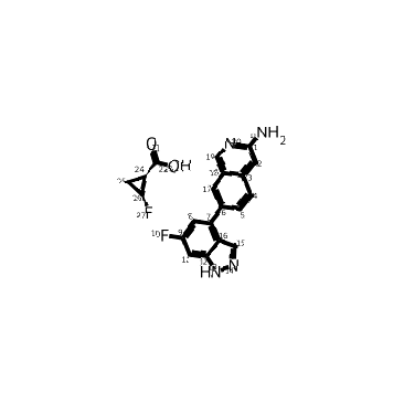 Nc1cc2ccc(-c3cc(F)cc4[nH]ncc34)cc2cn1.O=C(O)[C@@H]1C[C@@H]1F